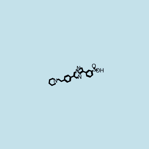 O=S(O)c1cccc(-c2cnn3cc(-c4ccc(CCN5CCCCC5)cc4)cnc23)c1